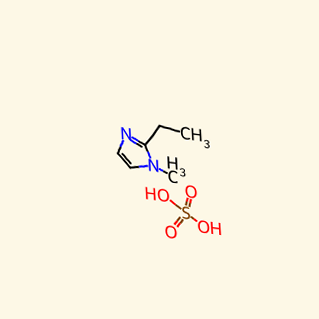 CCc1nccn1C.O=S(=O)(O)O